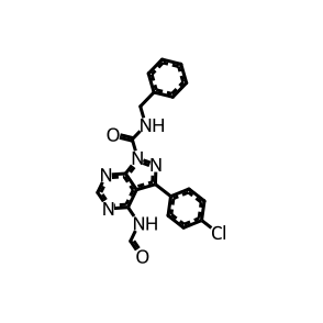 O=CNc1ncnc2c1c(-c1ccc(Cl)cc1)nn2C(=O)NCc1ccccc1